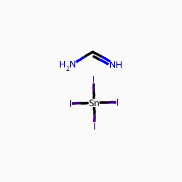 N=CN.[I][Sn]([I])([I])[I]